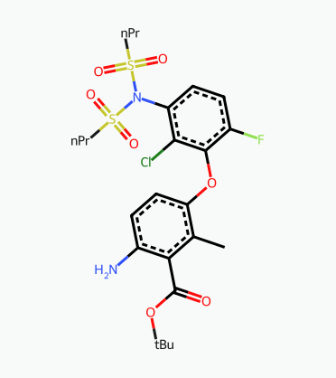 CCCS(=O)(=O)N(c1ccc(F)c(Oc2ccc(N)c(C(=O)OC(C)(C)C)c2C)c1Cl)S(=O)(=O)CCC